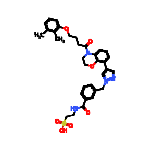 Cc1cccc(OCCCC(=O)N2CCOc3c(-c4cnn(Cc5cccc(C(=O)NCCS(=O)(=O)O)c5)c4)cccc32)c1C